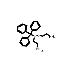 NCCS[S+](CCN)C(c1ccccc1)(c1ccccc1)c1ccccc1